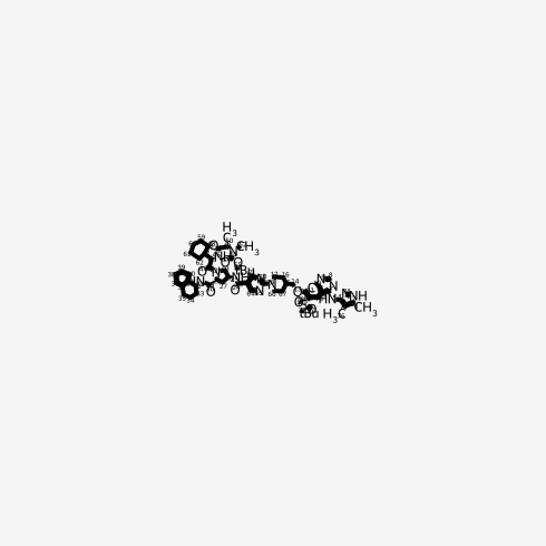 Cc1[nH]nc(Nc2ncnc3cc(OCC4CCN(c5ncc(C(=O)N[C@H]6C[C@@H](C(=O)N[C@@H]7CCCc8ccccc87)N(C(=O)[C@@H](NC(=O)[C@H](C)N(C)C(=O)OC(C)(C)C)C7CCCCC7)C6)cn5)CC4)c(S(=O)(=O)C(C)(C)C)cc23)c1C